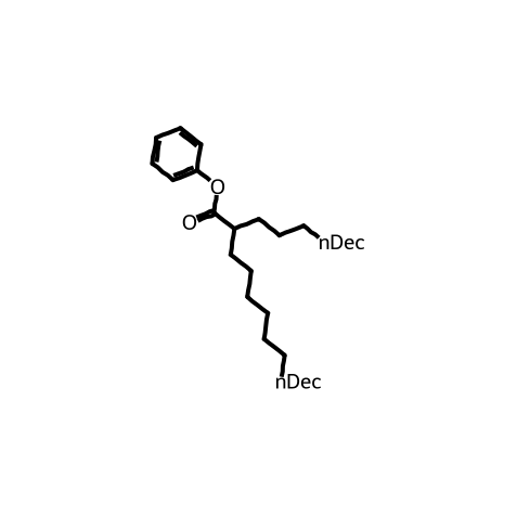 CCCCCCCCCCCCCCCCC(CCCCCCCCCCCCC)C(=O)Oc1ccccc1